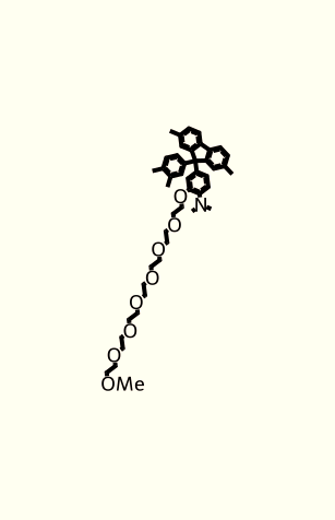 COCCOCCOCCOCCOCCOCCOCCOc1cc(C2(c3ccc(C)c(C)c3)c3cc(C)ccc3-c3ccc(C)cc32)ccc1N(C)C